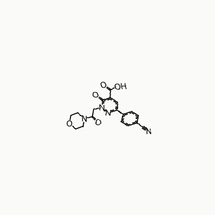 N#Cc1ccc(-c2cc(C(=O)O)c(=O)n(CC(=O)N3CCOCC3)n2)cc1